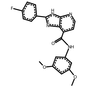 COc1cc(NC(=O)c2ccnc3[nH]c(-c4ccc(F)cc4)nc23)cc(OC)c1